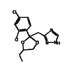 CCC1COC(Cc2nc[nH]n2)(c2ccc(Cl)cc2Cl)O1